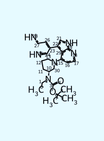 CCN(C(=O)OC(C)(C)C)[C@H]1CCCN(c2ccnc3[nH]cc(/C(C=N)=C/C=N)c23)C1